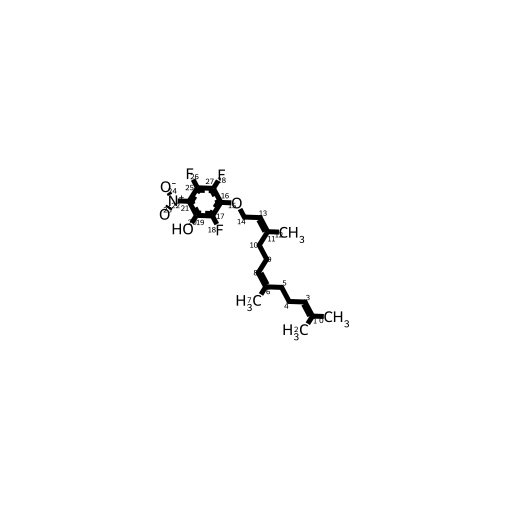 CC(C)=CCCC(C)=CCCC(C)=CCOc1c(F)c(O)c([N+](=O)[O-])c(F)c1F